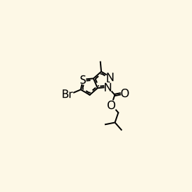 Cc1nn(C(=O)OCC(C)C)c2cc(Br)sc12